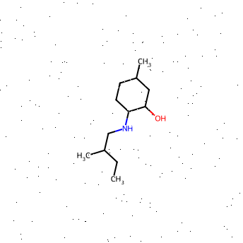 CCC(C)CNC1CCC(C)CC1O